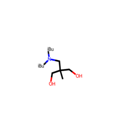 CCC(C)N(CC(C)(CO)CO)C(C)CC